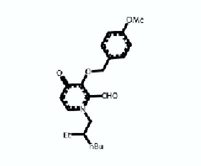 CCCCC(CC)Cn1ccc(=O)c(OCc2ccc(OC)cc2)c1C=O